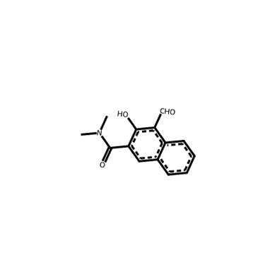 CN(C)C(=O)c1cc2ccccc2c(C=O)c1O